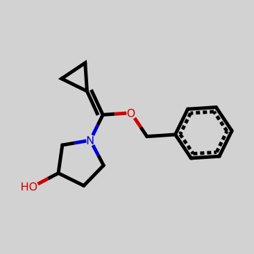 OC1CCN(C(OCc2ccccc2)=C2CC2)C1